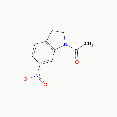 CC(=O)N1CCc2ccc([N+](=O)[O-])cc21